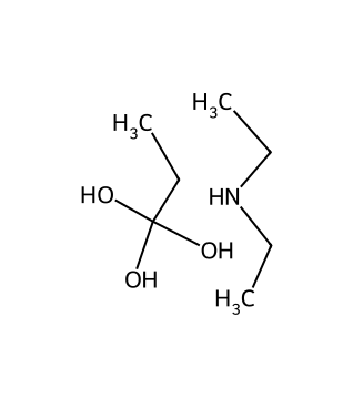 CCC(O)(O)O.CCNCC